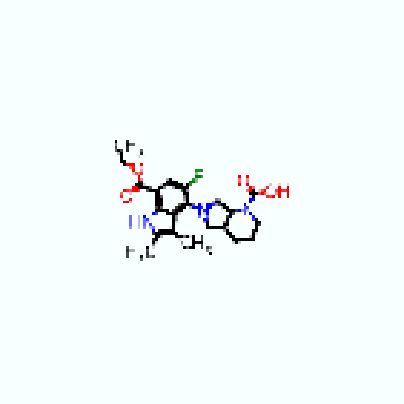 CCOC(=O)c1cc(F)c(N2CC3CCCN(C(=O)O)C3C2)c2c(C)c(C)[nH]c12